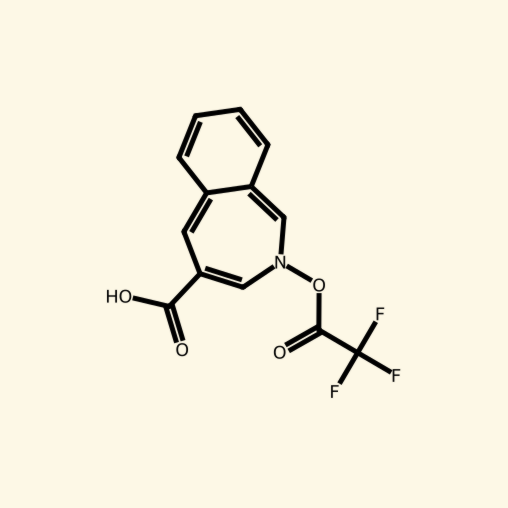 O=C(O)C1=CN(OC(=O)C(F)(F)F)C=c2ccccc2=C1